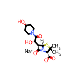 CC1(C)S[C@@H]2[C@H]([C@H](O)C(=O)N3CCC(O)CC3)C(=O)N2[C@H]1C(=O)[O-].[Na+]